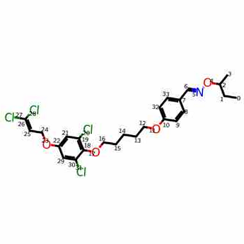 CCC(C)O/N=C/c1ccc(OCCCCCOc2c(Cl)cc(OCC=C(Cl)Cl)cc2Cl)cc1